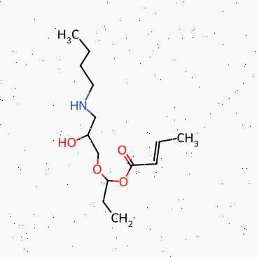 [CH2]CC(OCC(O)CNCCCC)OC(=O)C=CC